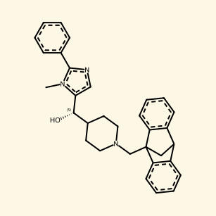 Cn1c([C@@H](O)C2CCN(CC34CC(c5ccccc53)c3ccccc34)CC2)cnc1-c1ccccc1